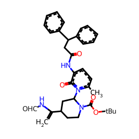 C=C(NC=O)C1CCN(C(=O)OC(C)(C)C)C(n2c(C)ccc(NC(=O)CC(c3ccccc3)c3ccccc3)c2=O)C1